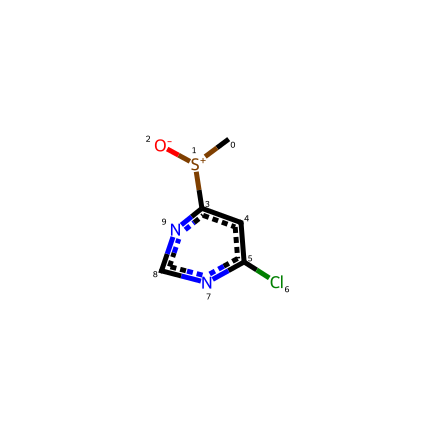 C[S+]([O-])c1cc(Cl)ncn1